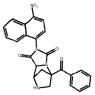 O=C1C2C3CC(C(=O)c4ccccc4)(CN3)N2C(=O)N1c1ccc([N+](=O)[O-])c2ccccc12